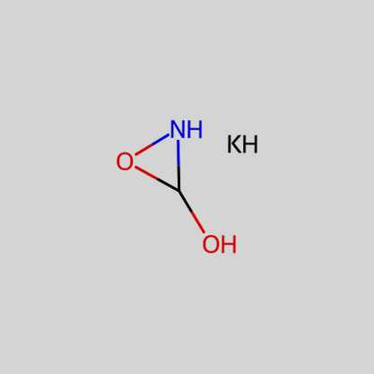 OC1NO1.[KH]